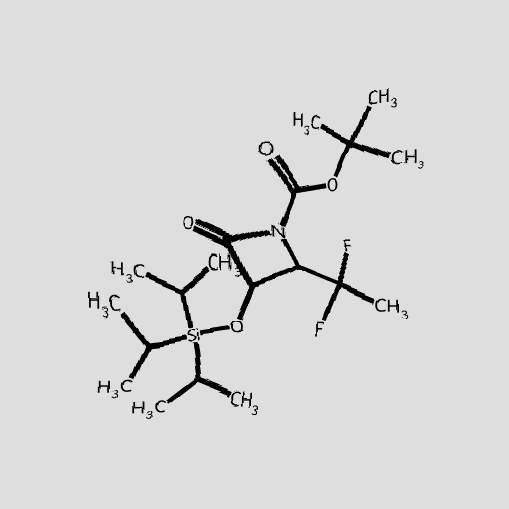 CC(C)[Si](OC1C(=O)N(C(=O)OC(C)(C)C)C1C(C)(F)F)(C(C)C)C(C)C